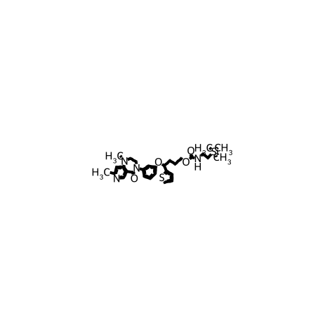 Cc1cc2c(cn1)C(=O)N(c1cccc(OC(CCCOC(=O)NCC[Si](C)(C)C)c3cccs3)c1)CCN2C